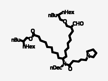 CCCCCCCCCCN(C(=O)CCCCN1CCCC1)C(CCCCCCCCC(=O)OCC(CCCC)CCCCCC)CCCCCCCC(C=O)COCC(CCCC)CCCCCC